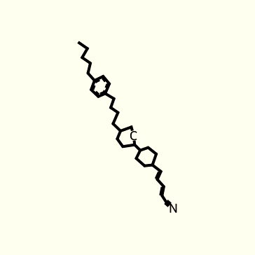 CCCCCc1ccc(CCCCC2CCC(C3CCC(C=CC=CC#N)CC3)CC2)cc1